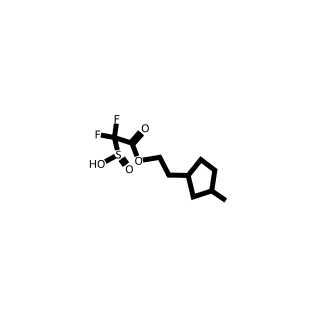 CC1CCC(CCOC(=O)C(F)(F)S(=O)O)C1